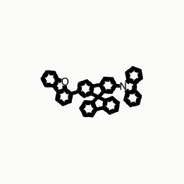 c1ccc2c(c1)-c1ccccc1C21c2cc(-c3cccc4c3oc3ccccc34)ccc2-c2ccc(-n3c4ccccc4c4ccccc43)cc21